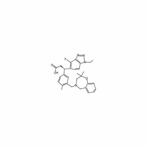 CCn1nnc2c(F)c([C@H](CC(=O)O)c3ccc(C)c(CN4Cc5ccccc5OC(C)(C)C4)c3)ccc21